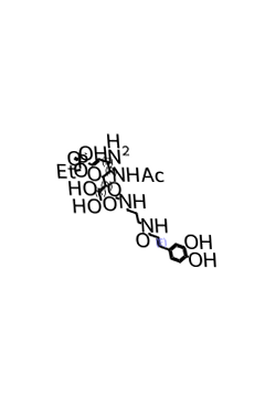 CCOP(=O)(O)C1=C[C@H](N)[C@@H](NC(C)=O)C([C@H](OC(=O)NCCCNC(=O)/C=C/c2ccc(O)c(O)c2)[C@H](O)CO)O1